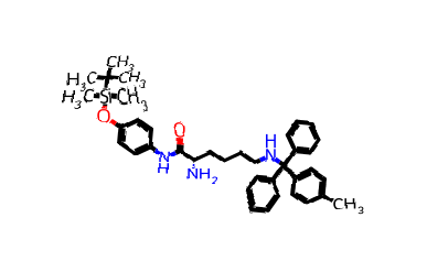 Cc1ccc(C(NCCCC[C@H](N)C(=O)Nc2ccc(O[Si](C)(C)C(C)(C)C)cc2)(c2ccccc2)c2ccccc2)cc1